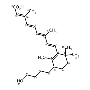 CC1=C(/C=C/C(C)=C/C=C/C(C)=C/C(=O)O)C(C)(C)CCC1CCCCO